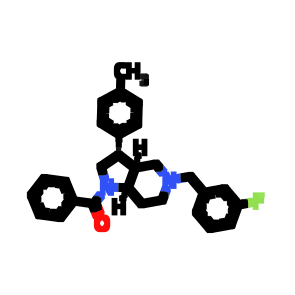 Cc1ccc([C@H]2CN(C(=O)c3ccccc3)[C@@H]3CCN(Cc4cccc(F)c4)C[C@H]23)cc1